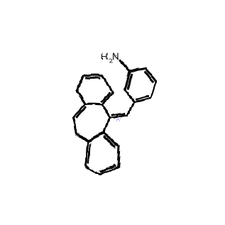 Nc1cccc(/C=C2\C3=CC=CCC3=CCc3ccccc32)c1